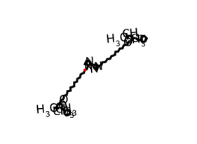 CC(C)(C)CC(COCCCCCCCCCCCCCCn1ccnc1-c1cn(CCCCCCCCCCCCCOCC(CC(C)(C)C)OCc2ccccc2)cn1)OCc1ccccc1